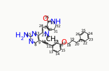 Cn1c(-c2nc(N)ncc2C#Cc2cccc(OCCCc3ccccc3)c2)cc2c1CCNC2=O